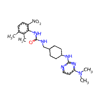 Cc1ccc([N+](=O)[O-])c(NC(=O)NCC2CCC(Nc3nccc(N(C)C)n3)CC2)c1C